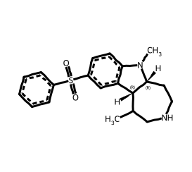 CC1CNCC[C@@H]2[C@H]1c1cc(S(=O)(=O)c3ccccc3)ccc1N2C